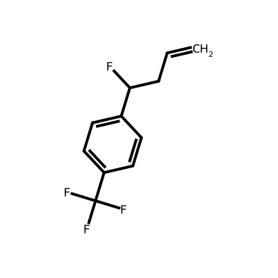 C=CCC(F)c1ccc(C(F)(F)F)cc1